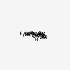 O=C(Nc1ccc2c(N3C(=O)c4ccccc4C3=O)noc2c1)C(O)c1cccc(-c2ccc(OC(F)(F)F)cc2)c1